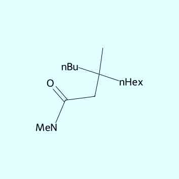 CCCCCCC(C)(CCCC)CC(=O)NC